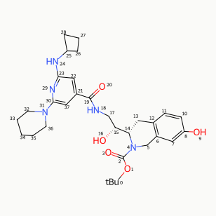 CC(C)(C)OC(=O)N1Cc2cc(O)ccc2C[C@H]1[C@H](O)CNC(=O)c1cc(NC2CCC2)nc(N2CCCCC2)c1